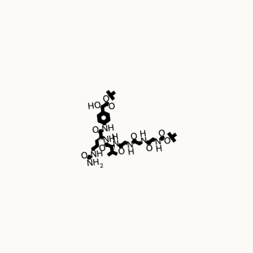 CC(C)[C@H](NC(=O)CNC(=O)CNC(=O)CNC(=O)OC(C)(C)C)C(=O)N[C@@H](CCCNC(N)=O)C(=O)Nc1ccc(C(O)C(=O)OC(C)(C)C)cc1